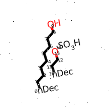 CCCCCCCCCCCCCCCCCCO.CCCCCCCCCCCCOS(=O)(=O)O